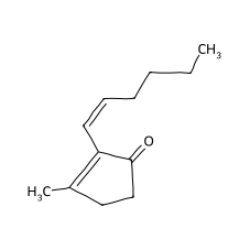 CCCC/C=C\C1=C(C)CCC1=O